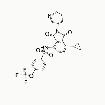 O=C1c2c(NS(=O)(=O)c3ccc(OC(F)(F)F)cc3)ccc(C3CC3)c2C(=O)N1c1cccnc1